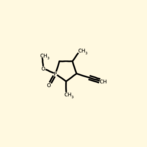 C#CC1C(C)CP(=O)(OC)C1C